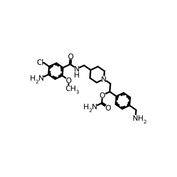 COc1cc(N)c(Cl)cc1C(=O)NCC1CCN(CC(OC(N)=O)c2ccc(CN)cc2)CC1